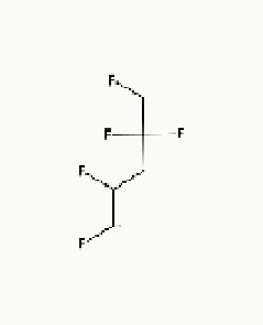 F[CH]C(F)CC(F)(F)CF